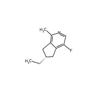 CC[C@H]1Cc2c(F)cnc(C)c2C1